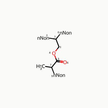 CCCCCCCCCC(CCCCCCCCC)COC(=O)C(C)CCCCCCCCC